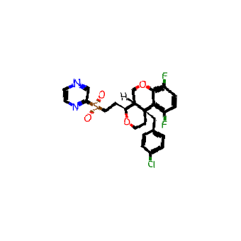 O=S(=O)(CC[C@@H]1OCC[C@@]2(Cc3ccc(Cl)cc3)c3c(F)ccc(F)c3OC[C@@H]12)c1cnccn1